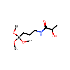 CCO[Si](CCCNC(=O)C(C)O)(OCC)OCC